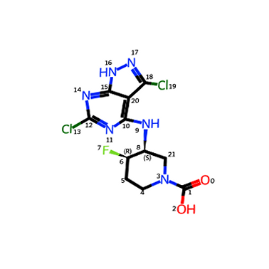 O=C(O)N1CC[C@@H](F)[C@@H](Nc2nc(Cl)nc3[nH]nc(Cl)c23)C1